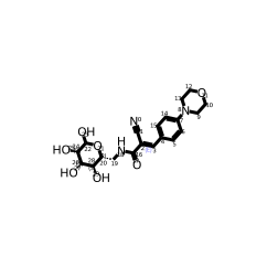 N#C/C(=C\c1ccc(N2CCOCC2)cc1)C(=O)NC[C@H]1OC(O)[C@H](O)[C@@H](O)[C@@H]1O